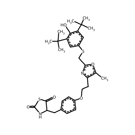 Cc1oc(CSc2cc(C(C)(C)C)c(O)c(C(C)(C)C)c2)nc1CCOc1ccc(CC2NC(=O)SC2=O)cc1